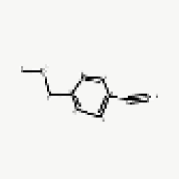 COCc1ccc(C#N)cc1